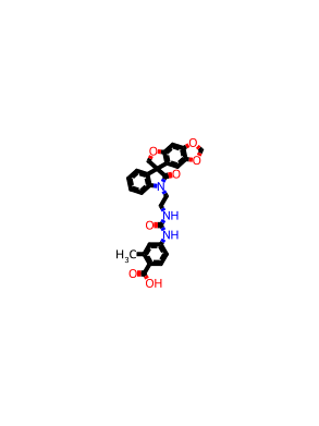 Cc1cc(NC(=O)NCCN2C(=O)C3(COc4cc5c(cc43)OCO5)c3ccccc32)ccc1C(=O)O